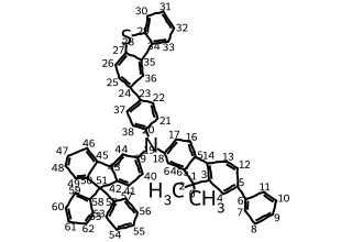 CC1(C)c2cc(-c3ccccc3)ccc2-c2ccc(N(c3ccc(-c4ccc5sc6ccccc6c5c4)cc3)c3ccc4c(c3)-c3ccccc3C4(c3ccccc3)c3ccccc3)cc21